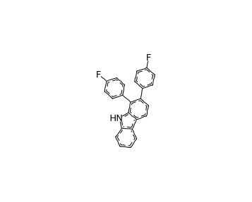 Fc1ccc(-c2ccc3c([nH]c4ccccc43)c2-c2ccc(F)cc2)cc1